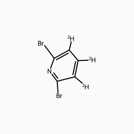 [2H]c1c(Br)nc(Br)c([2H])c1[2H]